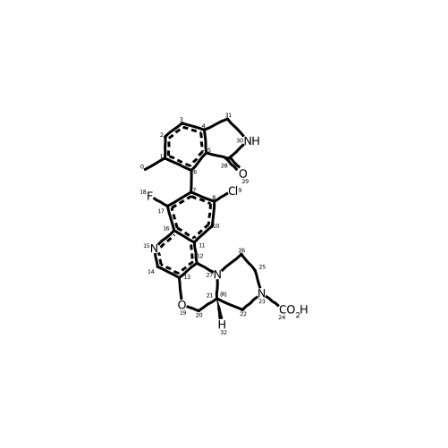 Cc1ccc2c(c1-c1c(Cl)cc3c4c(cnc3c1F)OC[C@H]1CN(C(=O)O)CCN41)C(=O)NC2